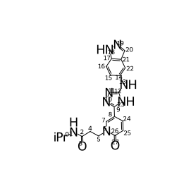 CC(C)NC(=O)CCn1cc(-c2nnc(Nc3ccc4[nH]ncc4c3)[nH]2)ccc1=O